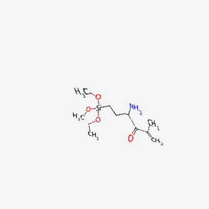 C=C(C)C(=O)C(N)CC[Si](OC)(OC)OCC